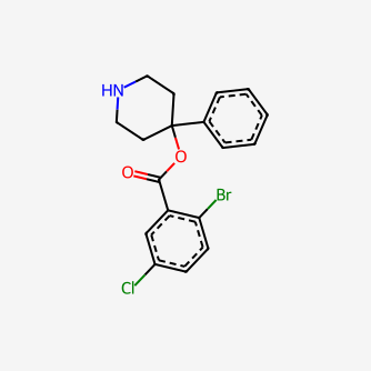 O=C(OC1(c2ccccc2)CCNCC1)c1cc(Cl)ccc1Br